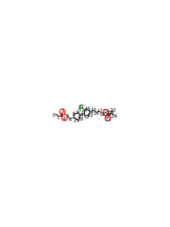 C=CC(=O)OCCc1ccc(-c2ccc(CCCCOC(=O)C(=C)C)cc2F)cc1